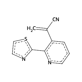 C=C(C#N)c1cccnc1-c1nccs1